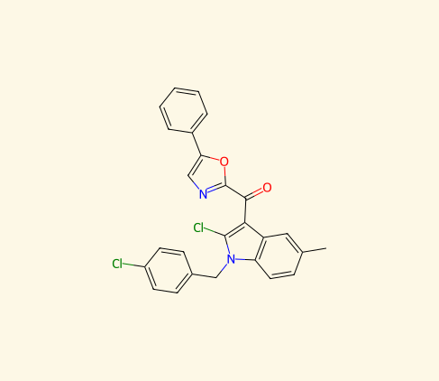 Cc1ccc2c(c1)c(C(=O)c1ncc(-c3ccccc3)o1)c(Cl)n2Cc1ccc(Cl)cc1